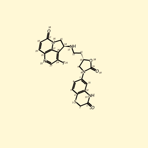 O=C1CSc2ccc(N3C[C@H](CCN[C@@H]4Cn5c(=O)ccc6ncc(F)c4c65)OC3=O)cc2N1